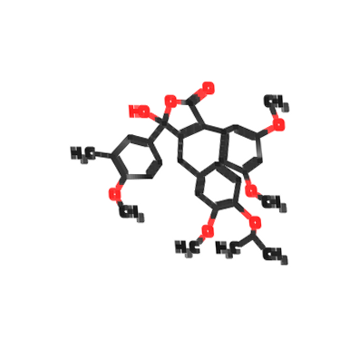 COc1cc(OC)cc(C2=C(Cc3ccc(OC(C)C)c(OC)c3)C(O)(c3ccc(OC)c(C)c3)OC2=O)c1